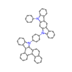 c1ccc(-n2c3ccccc3c3cc4c5ccccc5n(-c5ccc(-n6c7ccccc7c7c8ccccc8c8c9ccccc9ccc8c76)cc5)c4cc32)cc1